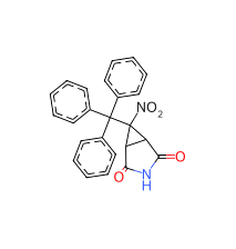 O=C1NC(=O)C2C1C2([N+](=O)[O-])C(c1ccccc1)(c1ccccc1)c1ccccc1